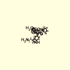 NCCc1c[nH]c2ccc(N3C(=O)NC(Cc4ccccc4)C3=O)cc12.O.O=C(O)/C=C\C(=O)O